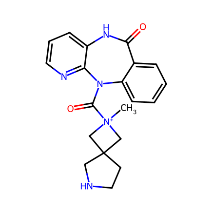 C[N+]1(C(=O)N2c3ccccc3C(=O)Nc3cccnc32)CC2(CCNC2)C1